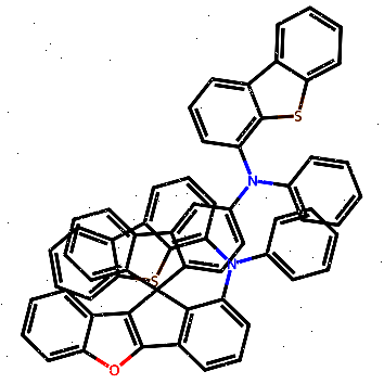 c1ccc(N(c2ccc3c(c2)-c2ccccc2C32c3c(cccc3N(c3ccccc3)c3cccc4c3sc3ccccc34)-c3oc4ccccc4c32)c2cccc3c2sc2ccccc23)cc1